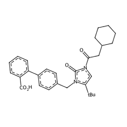 CC(C)(C)c1cn(C(=O)CC2CCCCC2)c(=O)n1Cc1ccc(-c2ccccc2C(=O)O)cc1